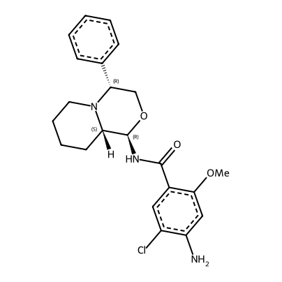 COc1cc(N)c(Cl)cc1C(=O)N[C@@H]1OC[C@@H](c2ccccc2)N2CCCC[C@@H]12